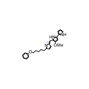 COc1cc(-c2ccc[nH]2)[nH]c1/C=C1\C=CC(CCCCCOc2ccccc2)=N1